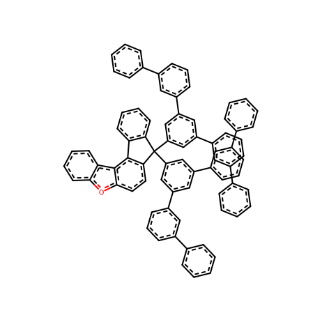 c1ccc(-c2cccc(-c3cc(-c4cccc(-c5ccccc5)c4)cc(C4(c5cc(-c6cccc(-c7ccccc7)c6)cc(-c6cccc(-c7ccccc7)c6)c5)c5ccccc5-c5c4ccc4oc6ccccc6c54)c3)c2)cc1